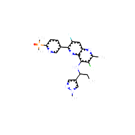 CCC(Nc1c(Cl)c(C)nc2cc(F)c(-c3ccc(P(C)(C)=O)nc3)nc12)c1cnn(C)c1